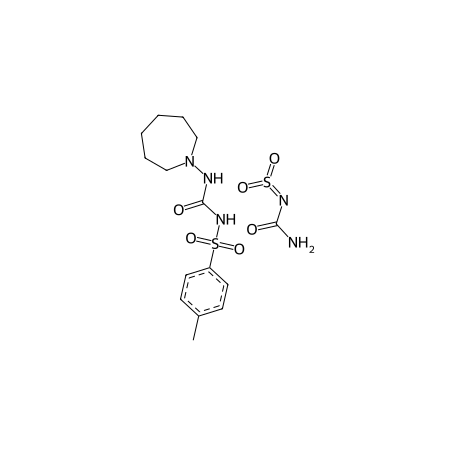 Cc1ccc(S(=O)(=O)NC(=O)NN2CCCCCC2)cc1.NC(=O)N=S(=O)=O